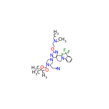 CCN(CC)CCOc1nc2c(c(N3CCN(C(=O)OC(C)(C)C)C(CC#N)C3)n1)CCN(c1ccccc1C(F)(F)F)C2